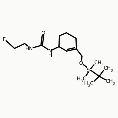 CC(C)(C)[Si](C)(C)OCC1=CC(NC(=O)NCCF)CCC1